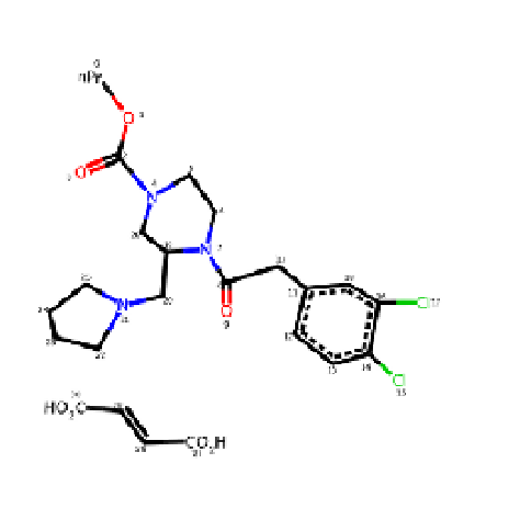 CCCOC(=O)N1CCN(C(=O)Cc2ccc(Cl)c(Cl)c2)C(CN2CCCC2)C1.O=C(O)/C=C/C(=O)O